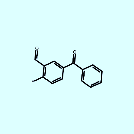 O=Cc1cc(C(=O)c2ccccc2)ccc1F